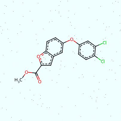 COC(=O)c1cc2cc(Oc3ccc(Cl)c(Cl)c3)ccc2o1